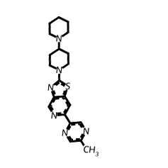 Cc1cnc(-c2cc3sc(N4CCC(N5CCCCC5)CC4)nc3cn2)cn1